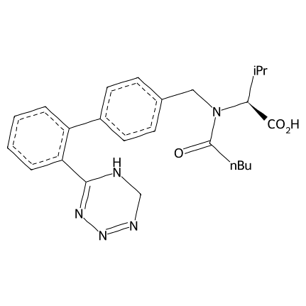 CCCCC(=O)N(Cc1ccc(-c2ccccc2C2=NN=NCN2)cc1)[C@H](C(=O)O)C(C)C